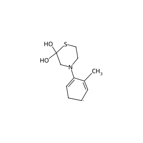 CC1=C[CH]CC=C1N1CCSC(O)(O)C1